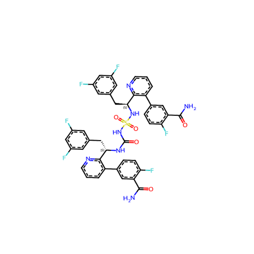 NC(=O)c1cc(-c2cccnc2[C@H](Cc2cc(F)cc(F)c2)NC(=O)NS(=O)(=O)N[C@@H](Cc2cc(F)cc(F)c2)c2ncccc2-c2ccc(F)c(C(N)=O)c2)ccc1F